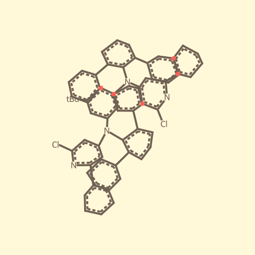 CC(C)(C)c1cc(N(c2cc(Cl)nc(-c3ccccc3)c2)c2c(-c3ccccc3)cccc2-c2ccccc2)cc(N(c2cc(Cl)nc(-c3ccccc3)c2)c2c(-c3ccccc3)cccc2-c2ccccc2)c1